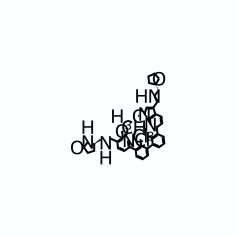 COc1nc(-c2cccc(-c3cccc(-c4ccc5c(CNC[C@@H]6CCCO6)cn(C)c5n4)c3Cl)c2Cl)ccc1CNC[C@H]1CCC(=O)N1